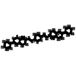 C1=CC2=NC(/C=C/c3ccc(/C=C/c4ccc5cc(-c6ccccc6)ccc5n4)cc3)=CCC2C=C1c1ccccc1